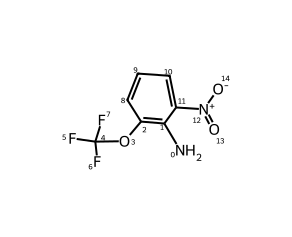 Nc1c(OC(F)(F)F)cccc1[N+](=O)[O-]